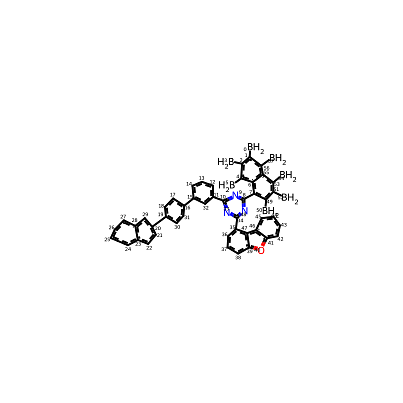 Bc1c(B)c(B)c2c(-c3nc(-c4cccc(-c5ccc(-c6ccc7ccccc7c6)cc5)c4)nc(-c4cccc5oc6ccccc6c45)n3)c(B)c(B)c(B)c2c1B